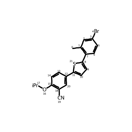 Cc1cc(Br)ccc1-c1ccc(-c2ccc(OC(C)C)c(C#N)c2)s1